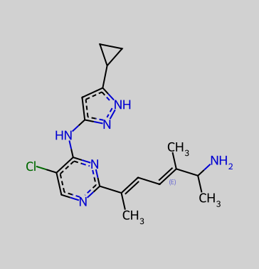 CC(=C/C=C(\C)C(C)N)c1ncc(Cl)c(Nc2cc(C3CC3)[nH]n2)n1